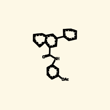 CC(=O)Oc1cccc(NC(=O)c2cc(-c3ccccc3)cc3ccccc23)c1